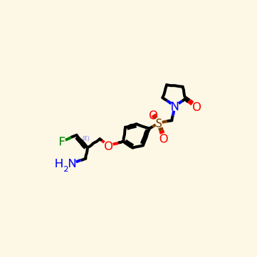 NC/C(=C\F)COc1ccc(S(=O)(=O)CN2CCCC2=O)cc1